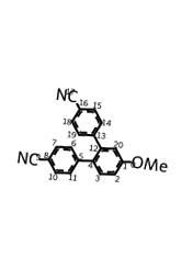 COc1ccc(-c2ccc(C#N)cc2)c(-c2ccc(C#N)cc2)c1